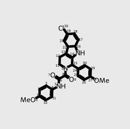 COc1ccc(NC(=O)C(=O)N2CCC3=C(NC4C=CC(Cl)=CC34)C2c2ccc(OC)cc2)cc1